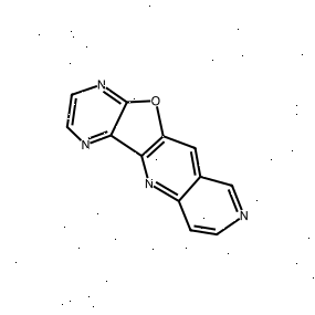 c1cc2nc3c(cc2cn1)oc1nccnc13